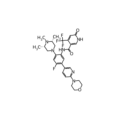 C[C@@H]1CN(c2cc(F)c(-c3ccc(N4CCOCC4)nc3)cc2NC(=O)c2c[nH]c(=O)cc2C(F)(F)F)C[C@H](C)N1C